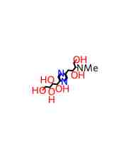 CN[C@@H](CO)[C@H](O)Cc1cnc([C@@H](O)[C@H](O)[C@H](O)CO)cn1